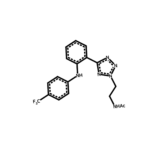 CC(=O)NCCn1nnc(-c2ccccc2Nc2ccc(C(F)(F)F)cc2)n1